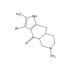 Cc1[nH]c2c(c1C(C)C)C(=O)C1CN(C)CCC1C2